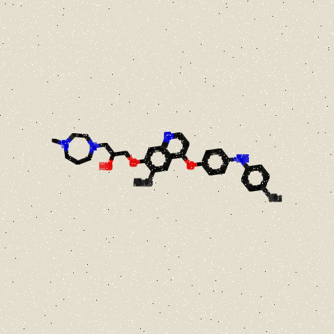 COc1cc2c(Oc3ccc(Nc4ccc(C(C)(C)C)cc4)cc3)ccnc2cc1OCC(O)CN1CCCN(C)CC1